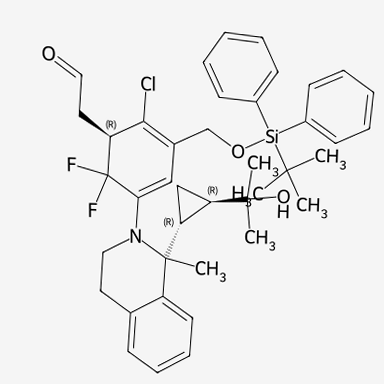 CC(C)(O)[C@@H]1C[C@H]1C1(C)c2ccccc2CCN1C1=CC(CO[Si](c2ccccc2)(c2ccccc2)C(C)(C)C)=C(Cl)[C@H](CC=O)C1(F)F